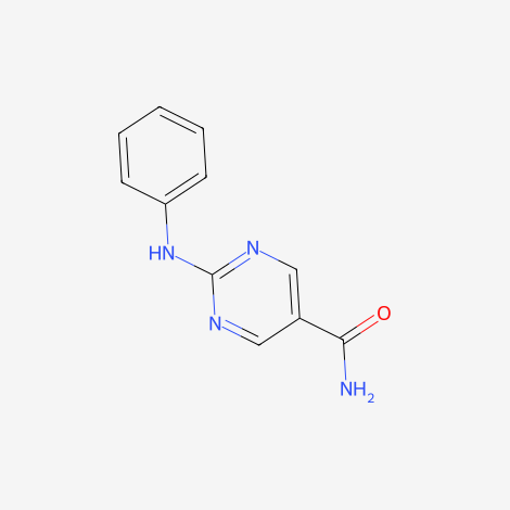 NC(=O)c1cnc(Nc2ccccc2)nc1